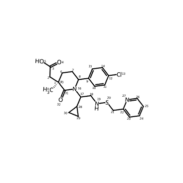 C[C@]1(CC(=O)O)CCC(c2ccc(Cl)cc2)N(C(CNSCc2ccccn2)C2CC2)C1=O